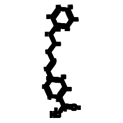 O=C(O)c1ccc(C=CCCCc2ccccc2)cc1